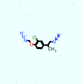 CC(CN=[N+]=[N-])c1ccc(OCN=[N+]=[N-])c(Cl)c1